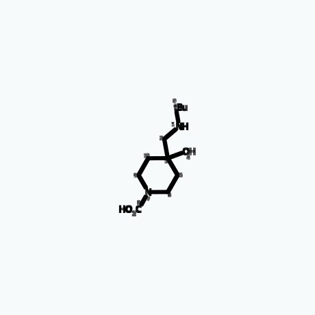 CC(C)(C)NCC1(O)CCN(C(=O)O)CC1